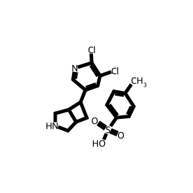 Cc1ccc(S(=O)(=O)O)cc1.Clc1cc(C2CC3CNCC32)cnc1Cl